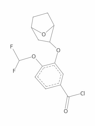 O=C(Cl)c1ccc(OC(F)F)c(OC2CC3CCC2O3)c1